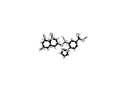 COC(=O)c1ccc(-n2cccn2)c([C@H](C)Oc2cc3cc(F)cc(F)c3[n+]([O-])c2)c1